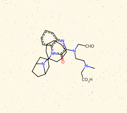 CN(CCN(CC=O)c1nc2ccccc2n(C2CC3CCC(C2)N3C2CCCCCCC2)c1=O)CC(=O)O